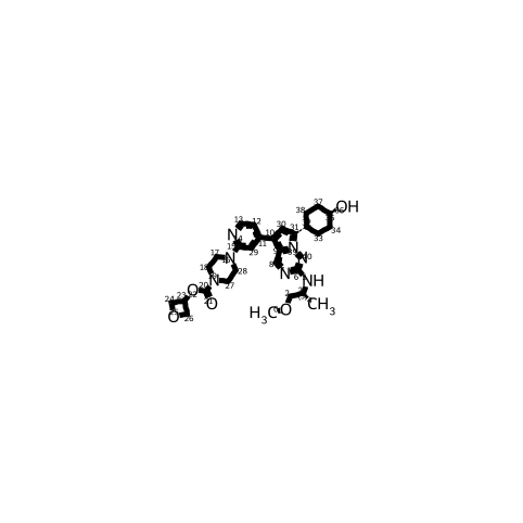 COC[C@H](C)Nc1ncc2c(-c3ccnc(N4CCN(C(=O)OC5COC5)CC4)c3)cc([C@H]3CC[C@H](O)CC3)n2n1